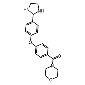 O=C(c1ccc(Oc2ccc(C3NCCN3)cc2)cc1)N1CCOCC1